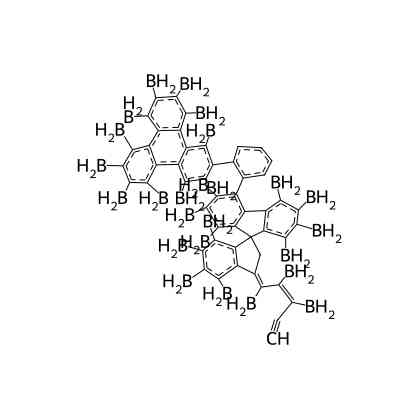 B/C(C#C)=C(B)/C(B)=C1\CC2(c3c(B)c(B)c(B)c(B)c31)c1c(B)c(B)c(B)c(B)c1-c1c(-c3ccccc3-c3c(B)c(B)c4c5c(B)c(B)c(B)c(B)c5c5c(B)c(B)c(B)c(B)c5c4c3B)c(B)c(B)c(B)c12